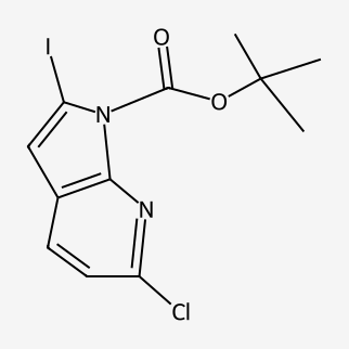 CC(C)(C)OC(=O)n1c(I)cc2ccc(Cl)nc21